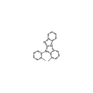 Cc1ccccc1-n1c2c(C)cccc2n2c3ccccc3nc12